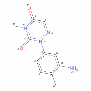 Cc1ccc(-n2ncc(=O)n(C)c2=O)cc1N